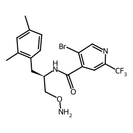 Cc1ccc(C[C@H](CON)NC(=O)c2cc(C(F)(F)F)ncc2Br)c(C)c1